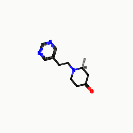 C[C@@H]1CC(=O)CCN1CCc1cncnc1